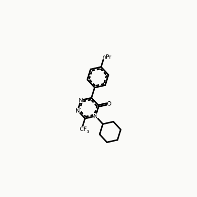 CCCc1ccc(-c2nnc(C(F)(F)F)n(C3CCCCC3)c2=O)cc1